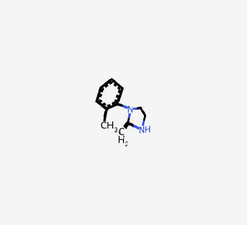 C=C1NCCN1c1ccccc1C